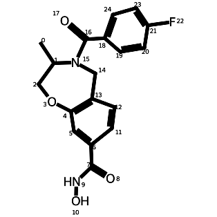 CC1COc2cc(C(=O)NO)ccc2CN1C(=O)c1ccc(F)cc1